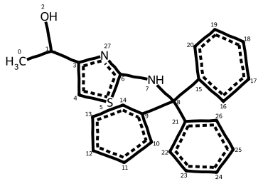 C[C](O)c1csc(NC(c2ccccc2)(c2ccccc2)c2ccccc2)n1